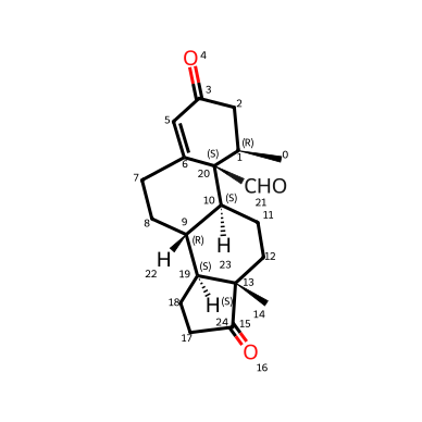 C[C@@H]1CC(=O)C=C2CC[C@@H]3[C@H](CC[C@]4(C)C(=O)CC[C@@H]34)[C@]21C=O